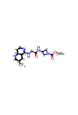 CC(C)(C)OC(=O)N1CC(NC(=O)CNc2nccc3ncc(C(F)(F)F)cc23)C1